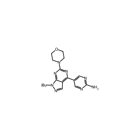 CCC(C)n1ncc2c(-c3cnc(N)nc3)nc(N3CCOCC3)nc21